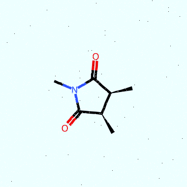 C[C@@H]1C(=O)N(C)C(=O)[C@@H]1C